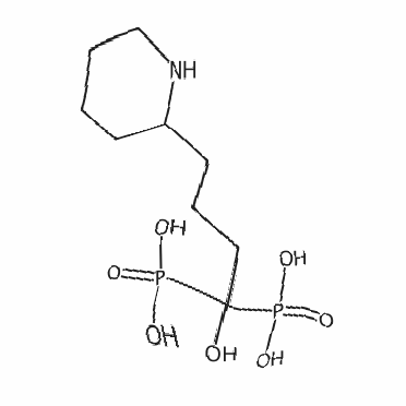 O=P(O)(O)C(O)(CCCC1CCCCN1)P(=O)(O)O